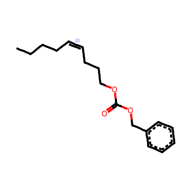 CCCC/C=C\CCCOC(=O)OCc1ccccc1